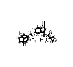 CC1(C(=O)Nc2c[nH]c3ccc(OC[C@@H]4CC[C@H]5CC[C@@H](C4)C5CC(F)(F)F)cc23)COC1